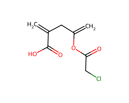 C=C(CC(=C)C(=O)O)OC(=O)CCl